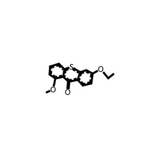 CCOc1ccc2c(=O)c3c(OC)cccc3sc2c1